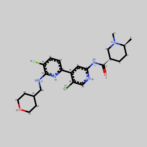 C[C@H]1CC[C@H](C(=O)Nc2cc(-c3ccc(F)c(NCC4CCOCC4)n3)c(Cl)cn2)CN1C